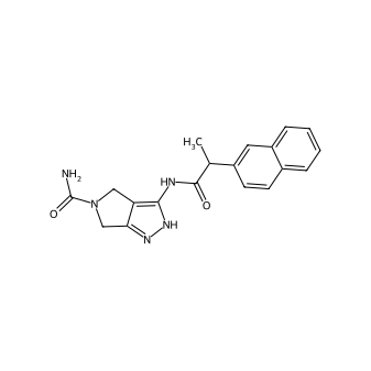 CC(C(=O)Nc1[nH]nc2c1CN(C(N)=O)C2)c1ccc2ccccc2c1